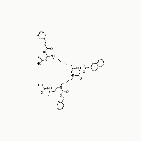 CC(CCN(CCCCNC(=O)C(NC(=O)CCCCCCNC(=NC(=O)O)NC(=O)OCc1ccccc1)O[C@@H](C)c1ccc2ccccc2c1)C(=O)OCc1ccccc1)NC(=O)O